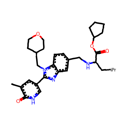 Cc1cc(-c2nc3cc(CNC(CC(C)C)C(=O)OC4CCCC4)ccc3n2CC2CCOCC2)c[nH]c1=O